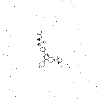 O=C(NCC(F)F)Nc1ccc(-c2nc3c(c(N4CCOCC4)n2)CCN(c2ncccn2)C3)cc1